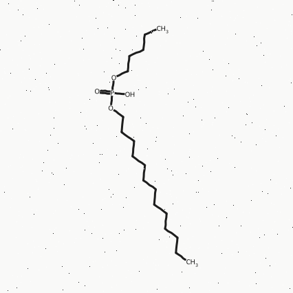 CCCCCCCCCCCCCOP(=O)(O)OCCCCC